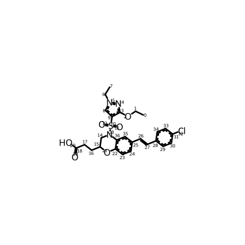 CCOc1nn(CC)cc1S(=O)(=O)N1CC(CCC(=O)O)Oc2ccc(C=Cc3ccc(Cl)cc3)cc21